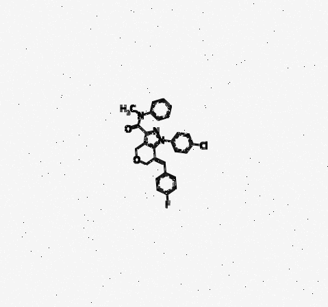 CN(C(=O)c1nn(-c2ccc(Cl)cc2)c2c1COC/C2=C\c1ccc(F)cc1)c1ccccc1